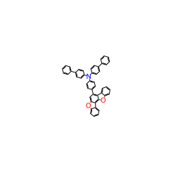 c1ccc(-c2ccc(N(c3ccc(-c4ccccc4)cc3)c3ccc(-c4cc5oc6ccccc6c5c5oc6ccccc6c45)cc3)cc2)cc1